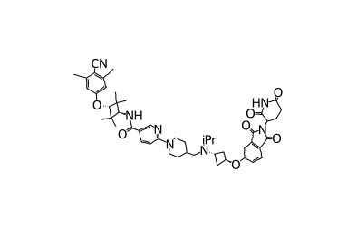 Cc1cc(O[C@H]2C(C)(C)[C@H](NC(=O)c3ccc(N4CCC(CN(C(C)C)[C@H]5C[C@H](Oc6ccc7c(c6)C(=O)N(C6CCC(=O)NC6=O)C7=O)C5)CC4)nc3)C2(C)C)cc(C)c1C#N